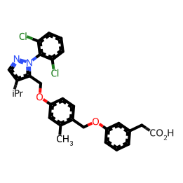 Cc1cc(OCc2c(C(C)C)cnn2-c2c(Cl)cccc2Cl)ccc1COc1cccc(CC(=O)O)c1